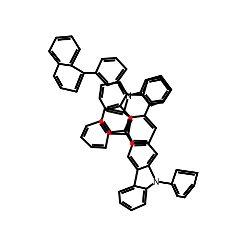 c1ccc(-c2ccccc2-c2c(-c3ccccc3)cccc2-c2ccccc2N(c2cccc(-c3ccc4c(c3)c3ccccc3n4-c3ccccc3)c2)c2cccc(-c3cccc4ccccc34)c2)cc1